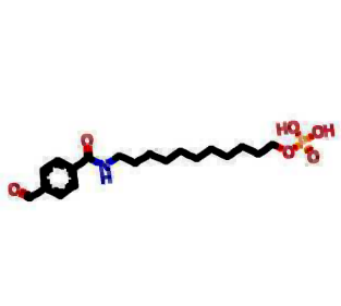 O=Cc1ccc(C(=O)NCCCCCCCCCCCOP(=O)(O)O)cc1